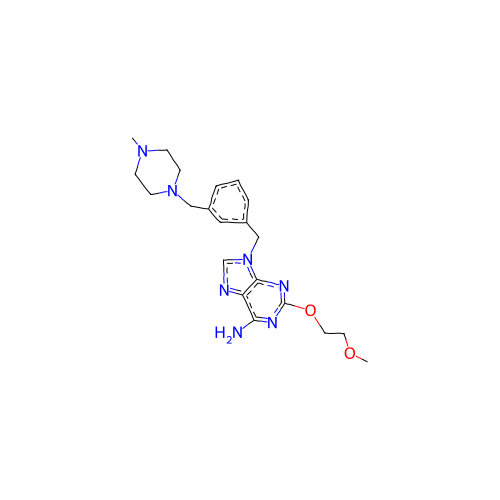 COCCOc1nc(N)c2ncn(Cc3cccc(CN4CCN(C)CC4)c3)c2n1